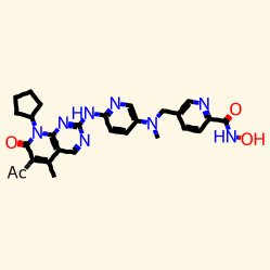 CC(=O)c1c(C)c2cnc(Nc3ccc(N(C)Cc4ccc(C(=O)NO)nc4)cn3)nc2n(C2CCCC2)c1=O